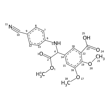 COC(=O)C(Nc1ccc(C#N)cc1)c1cc(OC)c(OC)c(C(=O)O)c1